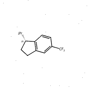 CC(C)[C@H]1CCc2cc(C(F)(F)F)ccc21